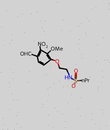 CCCS(=O)(=O)NCCOc1ccc(C=O)c([N+](=O)[O-])c1OC